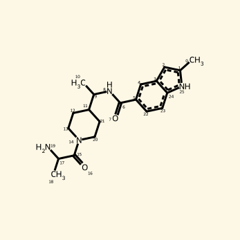 Cc1cc2cc(C(=O)NC(C)C3CCN(C(=O)C(C)N)CC3)ccc2[nH]1